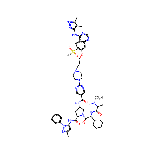 Cc1cc(NC(=O)[C@@H]2C[C@H](NC(=O)c3cnc(N4CCN(CCCOc5cc6ncnc(Nc7n[nH]c(C)c7C)c6cc5S(=O)(=O)C(C)(C)C)CC4)nc3)CN2C(=O)[C@@H](NC(=O)[C@H](C)N(C)C(=O)O)C2CCCCC2)n(-c2ccccc2)n1